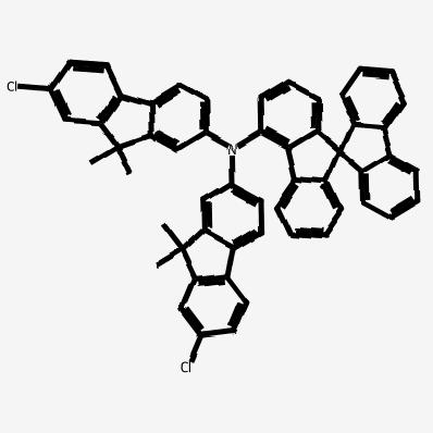 CC1(C)c2cc(Cl)ccc2-c2ccc(N(c3ccc4c(c3)C(C)(C)c3cc(Cl)ccc3-4)c3cccc4c3-c3ccccc3C43c4ccccc4-c4ccccc43)cc21